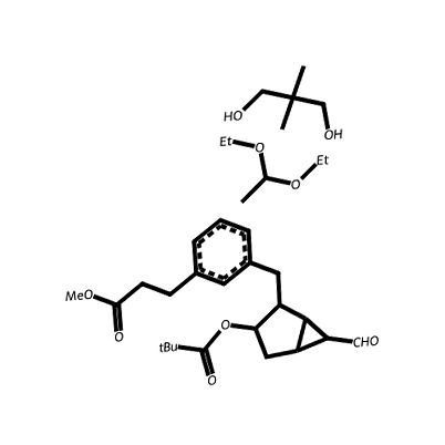 CC(C)(CO)CO.CCOC(C)OCC.COC(=O)CCc1cccc(CC2C(OC(=O)C(C)(C)C)CC3C(C=O)C23)c1